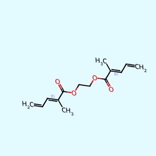 C=C/C=C(\C)C(=O)OCCOC(=O)/C(C)=C/C=C